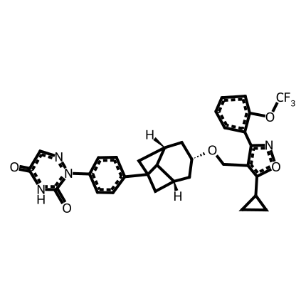 O=c1cnn(-c2ccc(C34C[C@H]5C[C@@H](OCc6c(-c7ccccc7OC(F)(F)F)noc6C6CC6)C[C@@H](C3)C54)cc2)c(=O)[nH]1